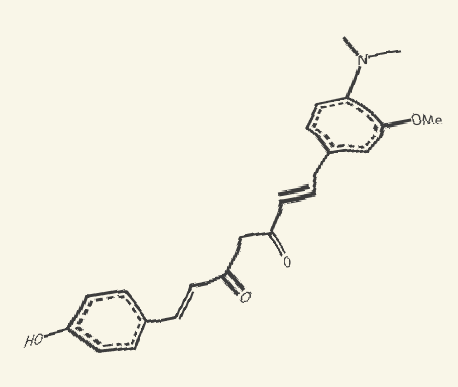 COc1cc(/C=C/C(=O)CC(=O)/C=C/c2ccc(O)cc2)ccc1N(C)C